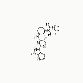 CC1CCCN1C(=O)N[C@@H]1CCC[C@H](Nc2nc(-c3n[nH]c4ncccc34)ncc2F)C1